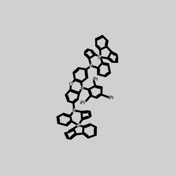 CC(C)c1cc(C(C)C)c(B2c3cc(N4c5ccccc5[Si]5(c6ccccc6-c6ccccc65)c5ccccc54)ccc3Oc3ccc(N4c5ccccc5[Si]5(c6ccccc6-c6ccccc65)c5ccccc54)cc32)c(C(C)C)c1